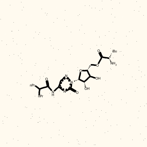 CCCC(CCC)C(=O)Nc1cnn([C@@H]2O[C@H](COC(=O)[C@@H](N)[C@@H](C)CC)C(O)[C@@H]2O)c(=O)n1